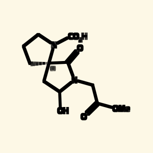 COC(=O)CN1C(=O)[C@@]2(CCCN2C(=O)O)CC1O